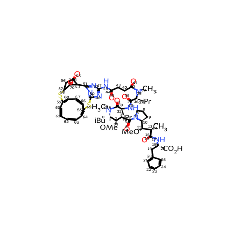 CC[C@H](C)[C@@H]([C@@H](CC(=O)N1CCC[C@H]1[C@H](OC)[C@@H](C)C(=O)N[C@@H](Cc1ccccc1)C(=O)O)OC)N(C)C(=O)[C@@H](NC(=O)[C@H](C(C)C)N(C)C(=O)CCC(=O)Nc1nc2nc(n1)C1C(=O)CC(Sc3cccccc(ccc3)S2)C1=O)C(C)C